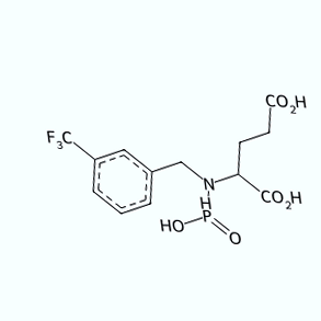 O=C(O)CCC(C(=O)O)N(Cc1cccc(C(F)(F)F)c1)[PH](=O)O